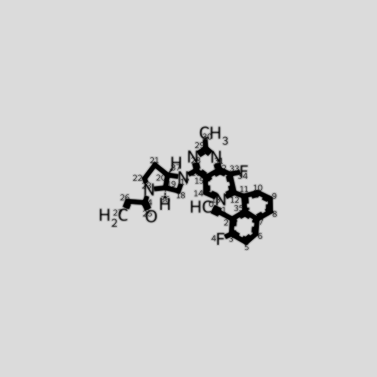 C#Cc1c(F)ccc2cccc(-c3ncc4c(N5C[C@@H]6[C@H]5CCN6C(=O)C=C)nc(C)nc4c3F)c12